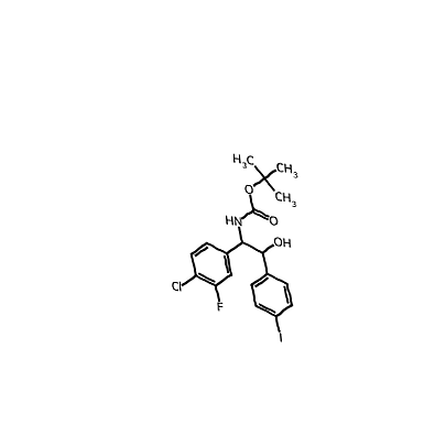 CC(C)(C)OC(=O)NC(c1ccc(Cl)c(F)c1)C(O)c1ccc(I)cc1